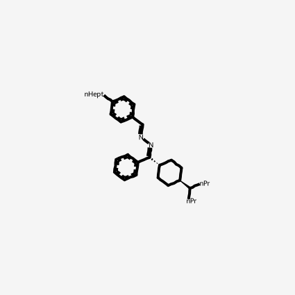 CCCCCCCc1ccc(C=NN=C(c2ccccc2)[C@H]2CC[C@H](C(CCC)CCC)CC2)cc1